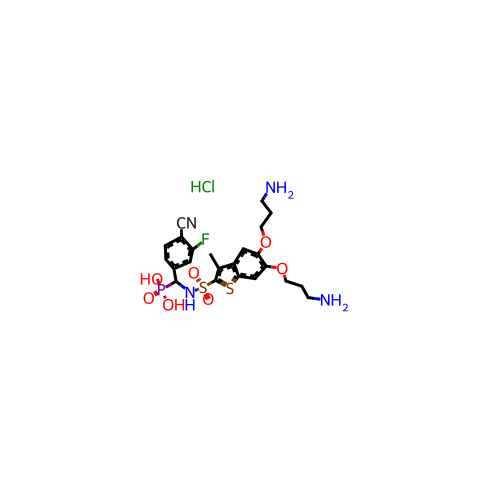 Cc1c(S(=O)(=O)NC(c2ccc(C#N)c(F)c2)P(=O)(O)O)sc2cc(OCCCN)c(OCCCN)cc12.Cl